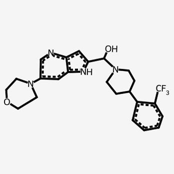 OC(c1cc2ncc(N3CCOCC3)cc2[nH]1)N1CCC(c2ccccc2C(F)(F)F)CC1